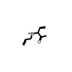 C=CCN[C](C=C)C(C)=O